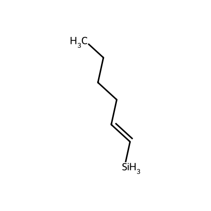 CCCCC=C[SiH3]